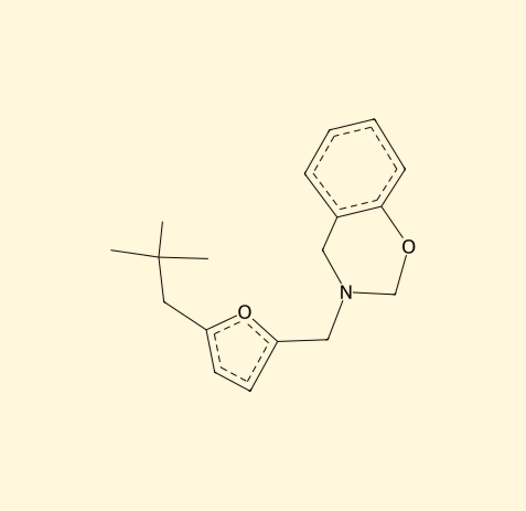 CC(C)(C)Cc1ccc(CN2COc3ccccc3C2)o1